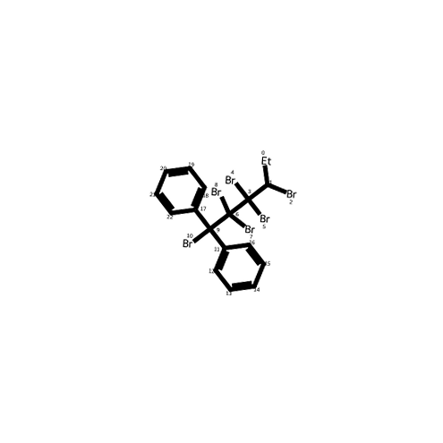 CCC(Br)C(Br)(Br)C(Br)(Br)C(Br)(c1ccccc1)c1ccccc1